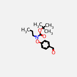 CCCN(Oc1ccc(C=O)cc1)C(=O)OC(C)(C)C